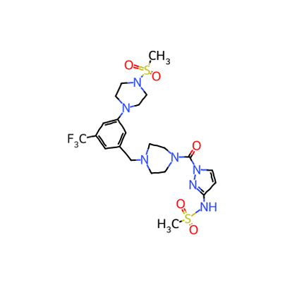 CS(=O)(=O)Nc1ccn(C(=O)N2CCN(Cc3cc(N4CCN(S(C)(=O)=O)CC4)cc(C(F)(F)F)c3)CC2)n1